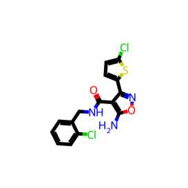 Nc1onc(-c2ccc(Cl)s2)c1C(=O)NCc1ccccc1Cl